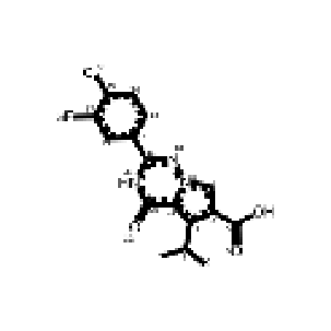 CC(C)c1c(C(=O)O)cn2nc(-c3ccc(Cl)c(F)c3)[nH]c(=O)c12